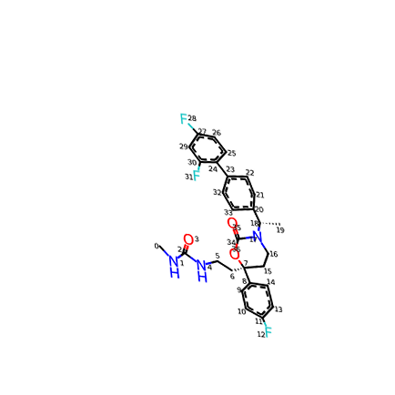 CNC(=O)NCC[C@@]1(c2ccc(F)cc2)CCN([C@@H](C)c2ccc(-c3ccc(F)cc3F)cc2)C(=O)O1